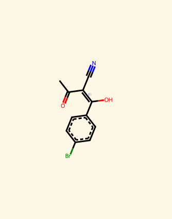 CC(=O)/C(C#N)=C(/O)c1ccc(Br)cc1